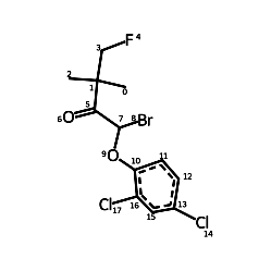 CC(C)(CF)C(=O)C(Br)Oc1ccc(Cl)cc1Cl